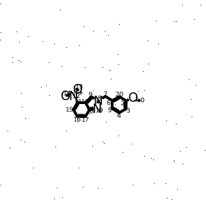 COc1cccc(Cn2cc3c([N+](=O)[O-])cccc3n2)c1